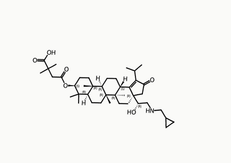 CC(C)C1=C2[C@H]3CC[C@@H]4[C@@]5(C)CC[C@H](OC(=O)CC(C)(C)C(=O)O)C(C)(C)[C@@H]5CC[C@@]4(C)[C@]3(C)CC[C@@]2([C@@H](O)CNCC2CC2)CC1=O